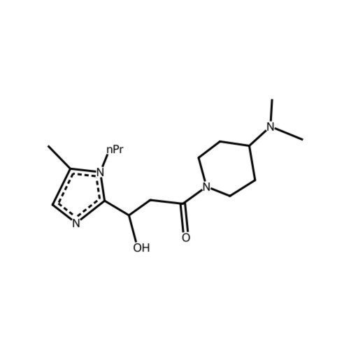 CCCn1c(C)cnc1C(O)CC(=O)N1CCC(N(C)C)CC1